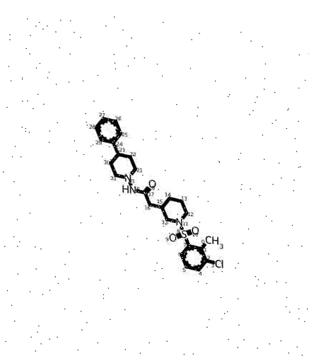 Cc1c(Cl)cccc1S(=O)(=O)N1CCCC(CC(=O)NN2CCC(c3ccccc3)CC2)C1